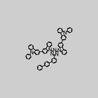 c1ccc(-c2ccc(-c3cccc(-c4nc(-n5c6ccccc6c6cc(-c7ccc8c(c7)c7ccccc7n8-c7ccccc7)ccc65)nc(-n5c6ccccc6c6cc(-c7ccc8c(c7)c7ccccc7n8-c7ccccc7)ccc65)n4)c3)cc2)cc1